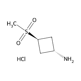 CS(=O)(=O)[C@H]1C[C@H](N)C1.Cl